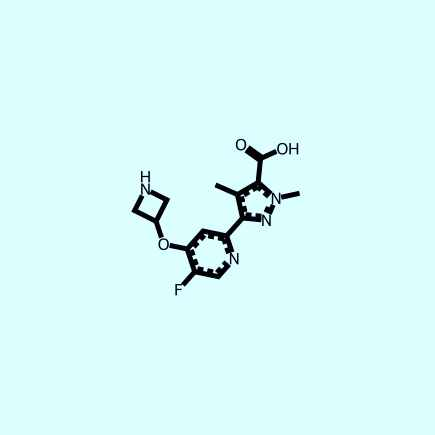 Cc1c(-c2cc(OC3CNC3)c(F)cn2)nn(C)c1C(=O)O